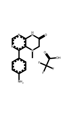 CN1CC(=O)Nc2ncnc(-c3ccc(N)cc3)c21.O=C(O)C(F)(F)F